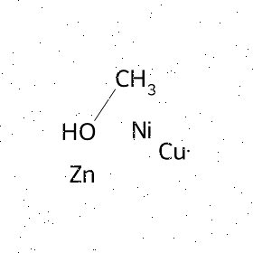 CO.[Cu].[Ni].[Zn]